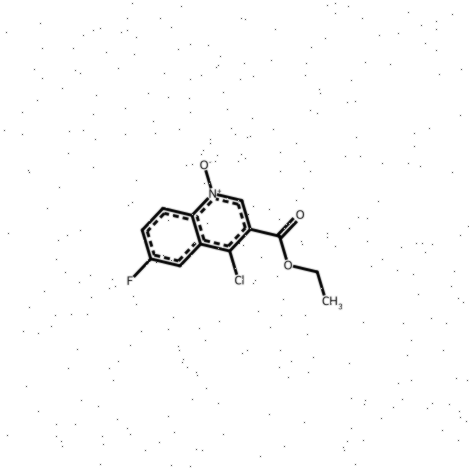 CCOC(=O)c1c[n+]([O-])c2ccc(F)cc2c1Cl